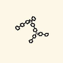 CC1(N(c2ccccc2)c2ccc(-c3ccc(N(c4ccc(-c5ccccc5)cc4)c4ccc(-c5ccccc5)cc4)cc3)cc2)C=CC(c2ccc(-c3ccccc3)cc2)=CC1